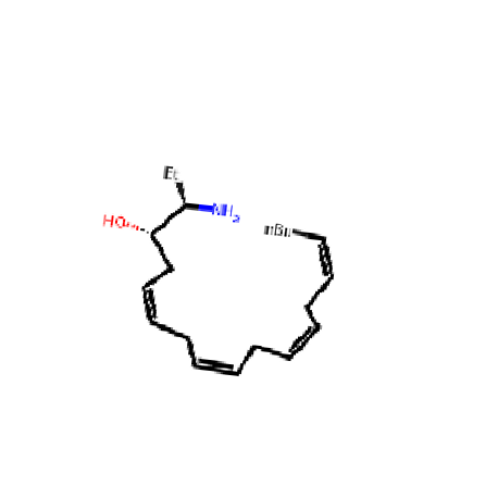 CCCC/C=C\C/C=C\C/C=C\C/C=C\C[C@H](O)[C@H](N)CC